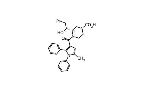 Cc1cc(C(=O)N2CCN(C(=O)O)C[C@H]2C(O)CC(C)C)c(-c2ccccc2)n1-c1ccccc1